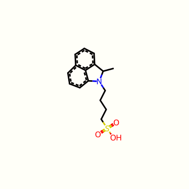 CC1c2cccc3cccc(c23)N1CCCCS(=O)(=O)O